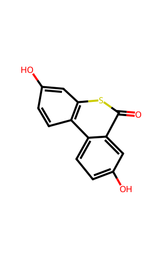 O=c1sc2cc(O)ccc2c2ccc(O)cc12